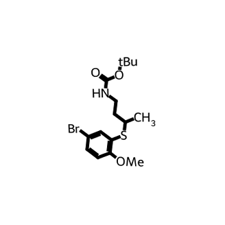 COc1ccc(Br)cc1SC(C)CCNC(=O)OC(C)(C)C